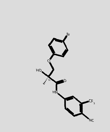 [C-]#[N+]c1ccc(NC(=O)[C@@](C)(O)COc2ccc(Br)cc2)cc1C(F)(F)F